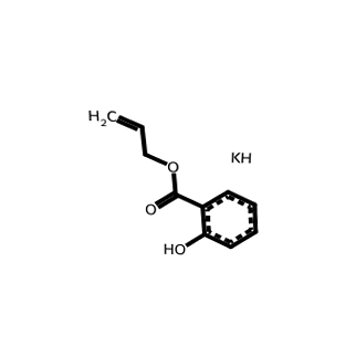 C=CCOC(=O)c1ccccc1O.[KH]